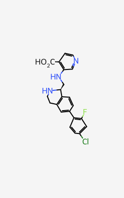 O=C(O)c1ccncc1NC[C@@H]1NCCc2cc(-c3ccc(Cl)cc3F)ccc21